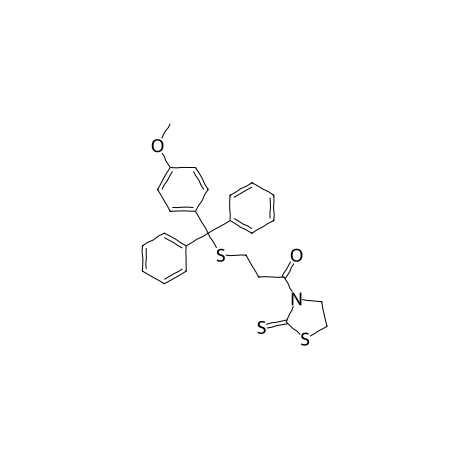 COc1ccc(C(SCCC(=O)N2CCSC2=S)(c2ccccc2)c2ccccc2)cc1